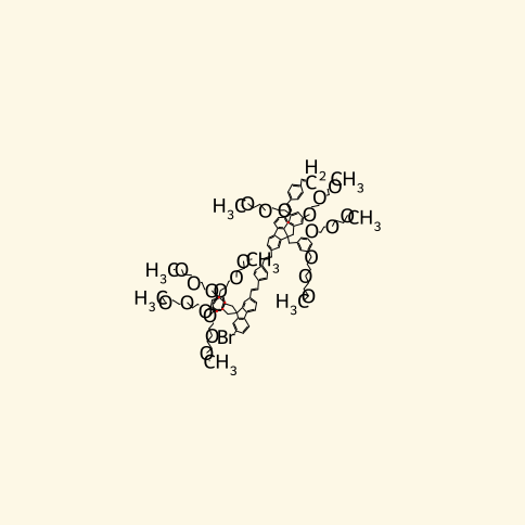 C=Cc1ccc(/C=C/c2ccc3c(c2)C(Cc2cc(OCCOCCOC)cc(OCCOCCOC)c2)(Cc2cc(OCCOCCOC)cc(OCCOCCOC)c2)c2cc(/C=C/c4ccc(/C=C/c5ccc6c(c5)C(Cc5cc(OCCOCCOC)cc(OCCOCCOC)c5)(Cc5cc(OCCOCCOC)cc(OCCOCCOC)c5)c5cc(Br)ccc5-6)cc4)ccc2-3)cc1